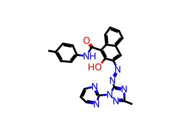 Cc1ccc(NC(=O)c2c(O)c(/N=N/c3nc(C)nn3-c3ncccn3)cc3ccccc23)cc1